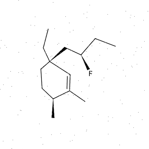 CC[C@@H](F)C[C@@]1(CC)C=C(C)[C@@H](C)CC1